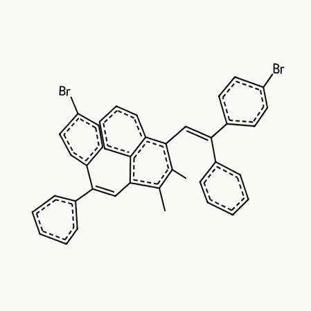 Cc1c(C)c(C=C(c2ccccc2)c2ccc(Br)cc2)c2ccccc2c1C=C(c1ccccc1)c1ccc(Br)cc1